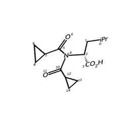 CC(C)C[C@H](C(=O)O)N(C(=O)C1CC1)C(=O)C1CC1